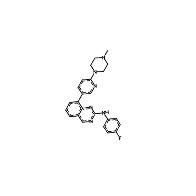 CN1CCN(c2ccc(-c3cccc4cnc(Nc5ccc(F)cc5)nc34)cn2)CC1